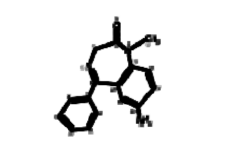 CN1C(=O)CN=C(c2ccccc2)c2cc(N)ccc21